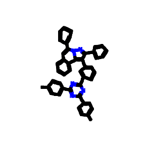 Cc1ccc(-c2nc(-c3ccc(C)cc3)nc(-c3cccc(-c4c(-c5ccccc5)nn5c(-c6ccccc6)cc6ccccc6c45)c3)n2)cc1